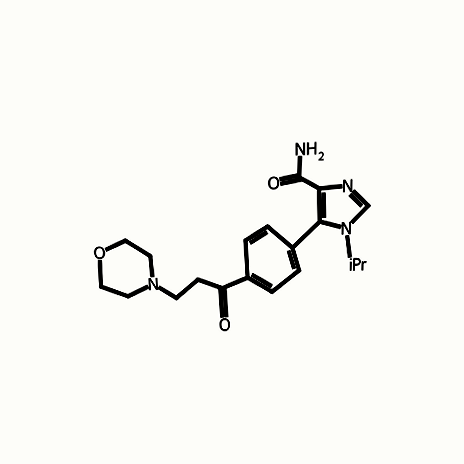 CC(C)n1cnc(C(N)=O)c1-c1ccc(C(=O)CCN2CCOCC2)cc1